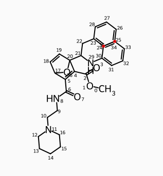 COC(=O)C1=C(C(=O)NCCN2CCCCC2)C2C=CC1(C(Cc1ccccc1)Nc1ccccc1)O2